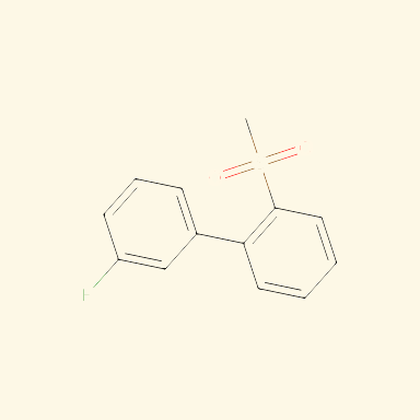 CS(=O)(=O)c1ccc[c]c1-c1cccc(F)c1